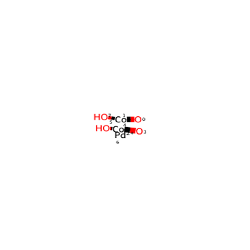 [O]=[Co-][OH].[O]=[Co-][OH].[Pd+2]